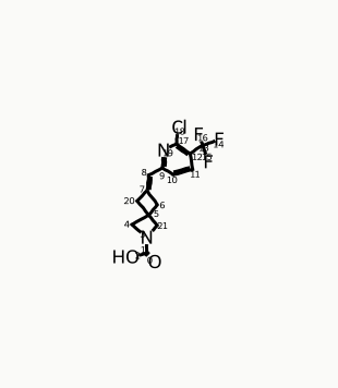 O=C(O)N1CC2(CC(=Cc3ccc(C(F)(F)F)c(Cl)n3)C2)C1